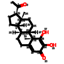 CC(=O)[C@H]1CC[C@H]2[C@@H]3CCC4=CC(=O)C(O)=C(O)[C@]4(C)[C@H]3CC[C@]12C